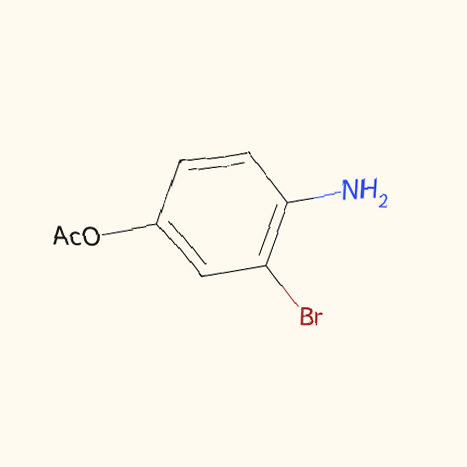 CC(=O)Oc1ccc(N)c(Br)c1